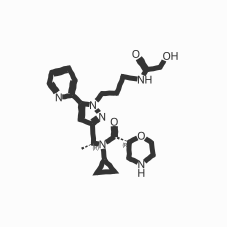 C[C@H](c1cc(-c2ccccn2)n(CCCNC(=O)CO)n1)N(C(=O)[C@H]1CNCCO1)C1CC1